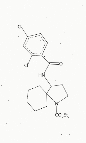 CCOC(=O)N1CCC(NC(=O)c2ccc(Cl)cc2Cl)C12CCCCC2